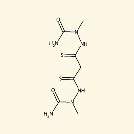 CN(NC(=S)CC(=S)NN(C)C(N)=O)C(N)=O